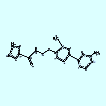 Cc1cc(-c2ccnc(N)n2)ccc1CCNC(=O)c1cn[nH]c1